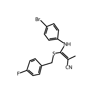 C/C(C#N)=C(\Nc1ccc(Br)cc1)SCc1ccc(F)cc1